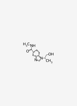 CNC(=O)c1ccc2c(c1)ncn2C(C)CO